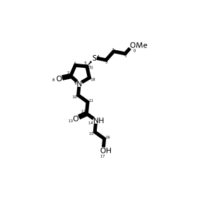 COCCCS[C@H]1CC(=O)N(CCC(=O)NCCO)C1